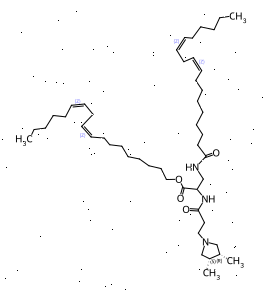 CCCCC/C=C\C/C=C\CCCCCCCCOC(=O)C(CNC(=O)CCCCCCC/C=C\C/C=C\CCCCC)NC(=O)CCN1C[C@@H](C)[C@@H](C)C1